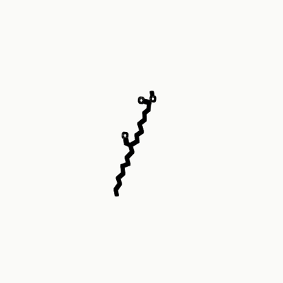 CCCCCCCCCC(C=O)CCCCCCCC(=O)OC